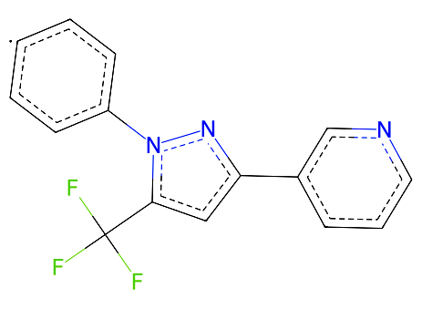 FC(F)(F)c1cc(-c2cccnc2)nn1-c1cc[c]cc1